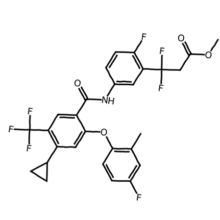 COC(=O)CC(F)(F)c1cc(NC(=O)c2cc(C(F)(F)F)c(C3CC3)cc2Oc2ccc(F)cc2C)ccc1F